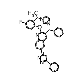 CC(c1cc(F)ccc1Oc1nc2ccc(-n3cc(-c4ccccc4)nn3)cc2cc1Cc1ccccc1)n1ccnc1